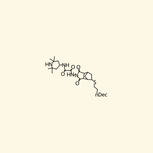 CCCCCCCCCCCCSC1CC2CC1C1C(=O)N(NC(=O)C(=O)NC3CC(C)(C)NC(C)(C)C3)C(=O)C21